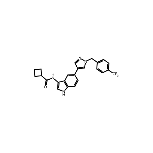 O=C(Nc1c[nH]c2ccc(-c3cnn(Cc4ccc(C(F)(F)F)cc4)c3)cc12)C1CCC1